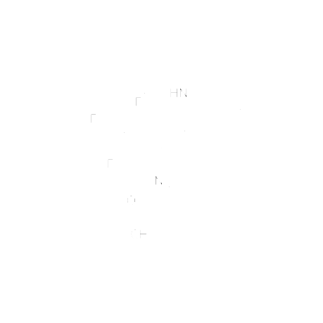 CON=C(c1ccc[nH]1)C(F)(F)F